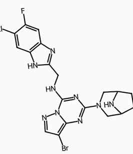 Fc1cc2nc(CNc3nc(N4CC5CCC(C4)N5)nc4c(Br)cnn34)[nH]c2cc1Cl